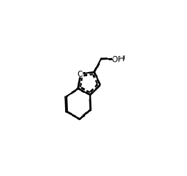 OCc1cc2c(o1)CCCC2